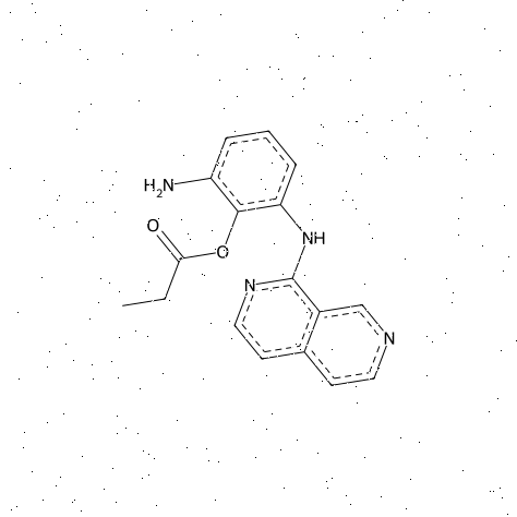 CCC(=O)Oc1c(N)cccc1Nc1nccc2ccncc12